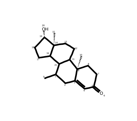 CC1CC2=CC(=O)CC[C@]2(C)C2CC[C@@]3(C)C(CC[C@@H]3O)C12